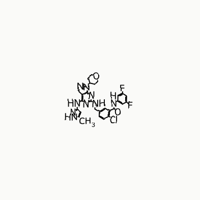 Cc1cc(Nc2nc(NCc3ccc(Cl)c(C(=O)Nc4cc(F)cc(F)c4)c3)nc3c2cnn3C2CCOCC2)n[nH]1